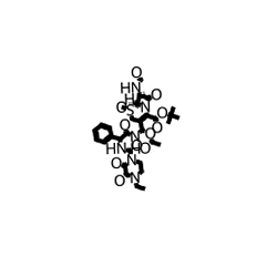 CCN1CCN(C(=O)NC(C(=O)NC(OC(C)=O)C2=C(C(=O)OC(C)(C)C)N3C(=O)[C@H](NC=O)[C@H]3[S+]([O-])C2)c2ccccc2)C(=O)C1=O